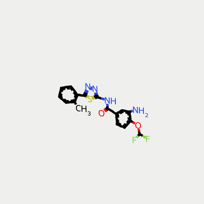 Cc1ccccc1-c1nnc(NC(=O)c2ccc(OC(F)F)c(N)c2)s1